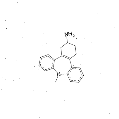 CN1c2ccccc2C2=C(CC(N)CC2)c2ccccc21